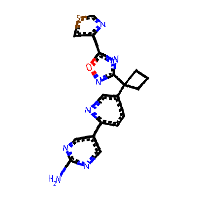 Nc1ncc(-c2ccc(C3(c4noc(-c5cscn5)n4)CCC3)cn2)cn1